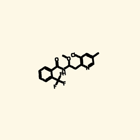 COC(Cc1ncc(C)cc1Cl)NC(=O)c1ccccc1C(F)(F)F